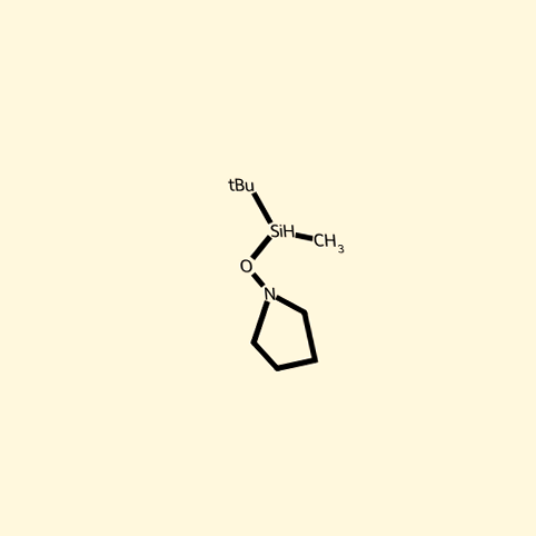 C[SiH](ON1CCCC1)C(C)(C)C